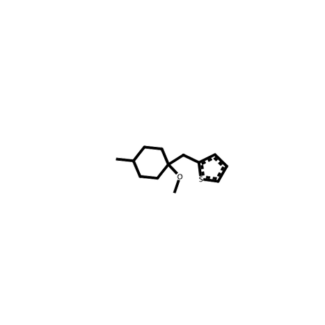 COC1(Cc2cccs2)CCC(C)CC1